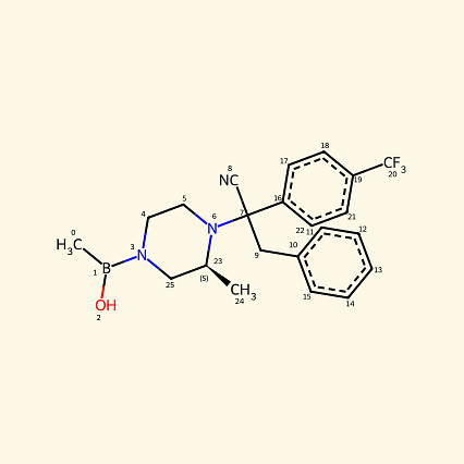 CB(O)N1CCN(C(C#N)(Cc2ccccc2)c2ccc(C(F)(F)F)cc2)[C@@H](C)C1